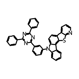 c1ccc(-c2nc(-c3ccccc3)nc(-c3cccc(-n4c5ccccc5c5c6sc7ncccc7c6ccc54)c3)n2)cc1